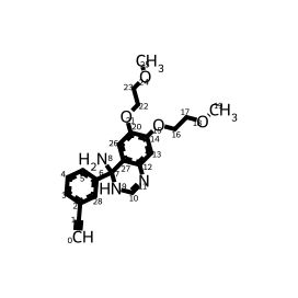 C#Cc1cccc(C2(N)NC=Nc3cc(OCCOC)c(OCCOC)cc32)c1